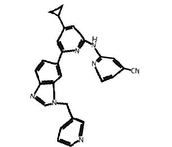 N#Cc1ccnc(Nc2cc(C3CC3)cc(-c3ccc4ncn(Cc5cccnc5)c4c3)n2)c1